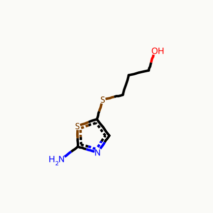 Nc1ncc(SCCCO)s1